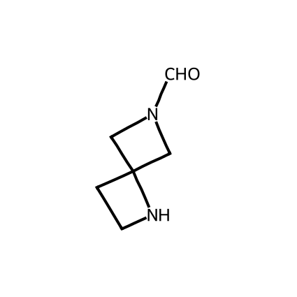 O=CN1CC2(CCN2)C1